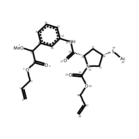 C=CCOC(=O)C(OC)c1cccc(NC(=O)[C@@H]2C[C@H](SC(C)=O)CN2C(=O)OCC=C)c1